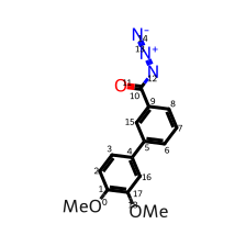 COc1ccc(-c2cccc(C(=O)N=[N+]=[N-])c2)cc1OC